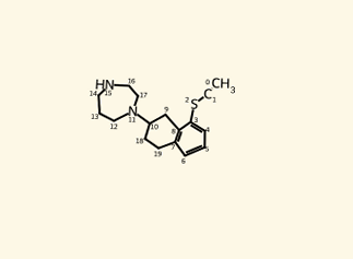 CCSc1cccc2c1CC(N1CCCNCC1)CC2